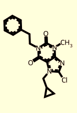 Cn1c(=O)n(CCc2ccccc2)c(=O)c2c1nc(Cl)n2CC1CC1